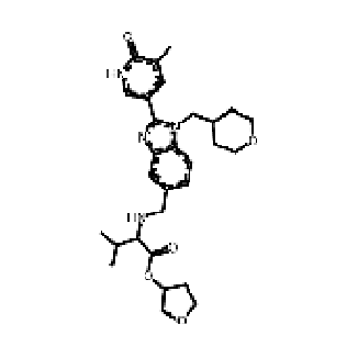 Cc1cc(-c2nc3cc(CNC(C(=O)OC4CCOC4)C(C)C)ccc3n2CC2CCOCC2)c[nH]c1=O